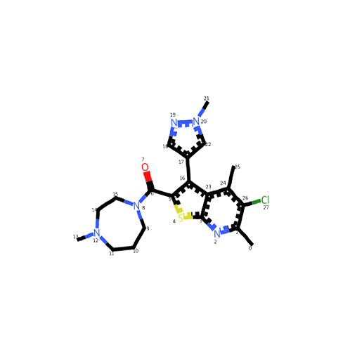 Cc1nc2sc(C(=O)N3CCCN(C)CC3)c(-c3cnn(C)c3)c2c(C)c1Cl